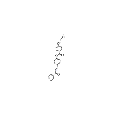 COCCOc1ccc(C(=O)Oc2ccc(/C=C/C(=O)c3ccccc3)cc2)cc1